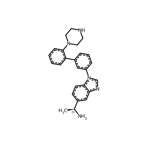 C[C@H](N)c1ccc2c(c1)ncn2-c1cccc(-c2ccccc2N2CCNCC2)c1